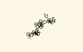 Cc1ccc(-c2cc(C(F)(F)F)nn2-c2ccc(S(=O)(=O)NC(=O)OC3CN(/[N+]([O-])=N\OC(C)OC(=O)C(C)C)C3)cc2)cc1